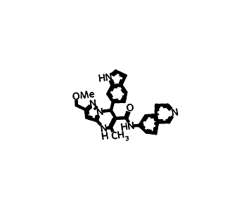 COCc1cc2n(n1)C(c1ccc3cc[nH]c3c1)C(C(=O)Nc1ccc3cnccc3c1)=C(C)N2